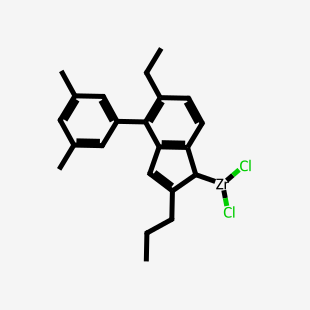 CCCC1=Cc2c(ccc(CC)c2-c2cc(C)cc(C)c2)[CH]1[Zr]([Cl])[Cl]